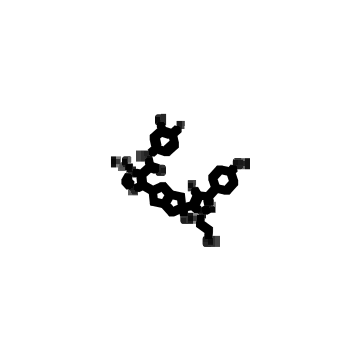 Cn1cnc(C2CC3CC(O)(c4c(F)c(C5CCC(O)CC5)nn4CCO)CC3C2)c1C(=O)Nc1ccc(F)c(Cl)c1